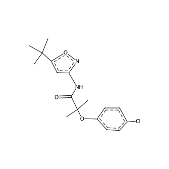 CC(C)(Oc1ccc(Cl)cc1)C(=O)Nc1cc(C(C)(C)C)on1